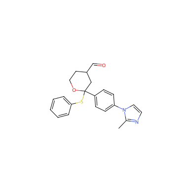 Cc1nccn1-c1ccc(C2(Sc3ccccc3)CC(C=O)CCO2)cc1